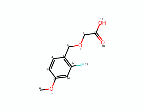 COc1ccc(COCC(=O)O)c(F)c1